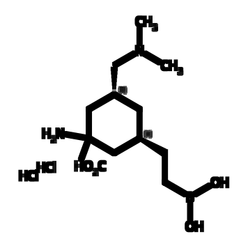 CN(C)C[C@@H]1C[C@@H](CCB(O)O)CC(N)(C(=O)O)C1.Cl.Cl